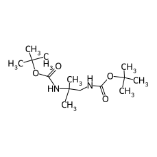 CC(C)(CNC(=O)OC(C)(C)C)NC(=O)OC(C)(C)C